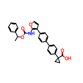 CC(OC(=O)Nc1occc1-c1ccc(-c2ccc(C3(C(=O)O)CC3)cc2)cc1)c1ccccc1